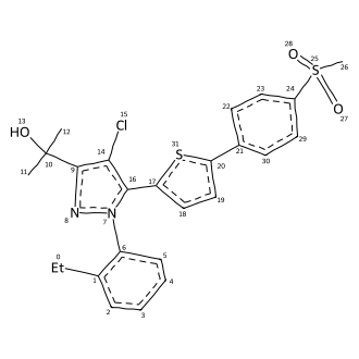 CCc1ccccc1-n1nc(C(C)(C)O)c(Cl)c1-c1ccc(-c2ccc(S(C)(=O)=O)cc2)s1